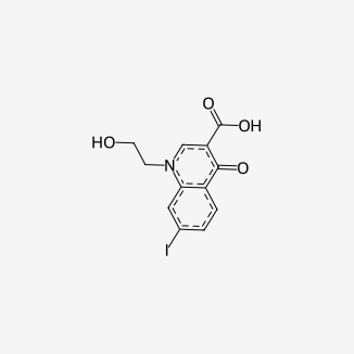 O=C(O)c1cn(CCO)c2cc(I)ccc2c1=O